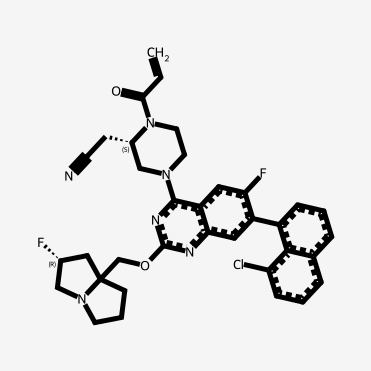 C=CC(=O)N1CCN(c2nc(OCC34CCCN3C[C@H](F)C4)nc3cc(-c4cccc5cccc(Cl)c45)c(F)cc23)C[C@@H]1CC#N